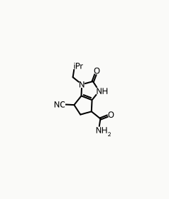 CC(C)Cn1c2c([nH]c1=O)C(C(N)=O)CC2C#N